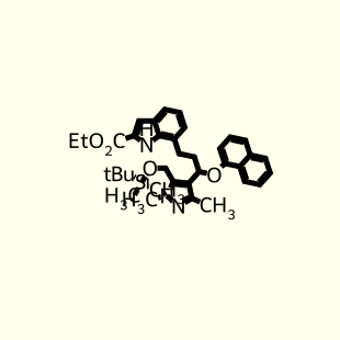 CCOC(=O)c1cc2cccc(CCC(Oc3cccc4ccccc34)c3c(C)nn(C)c3CO[Si](C)(C)C(C)(C)C)c2[nH]1